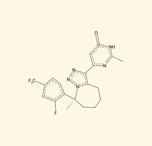 Cc1nc(-c2nnn3c2CCCC[C@@]3(C)c2ccc(C(F)(F)F)cc2F)cc(=O)[nH]1